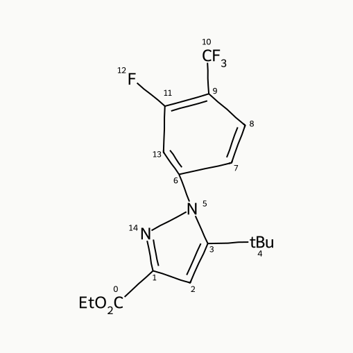 CCOC(=O)c1cc(C(C)(C)C)n(-c2ccc(C(F)(F)F)c(F)c2)n1